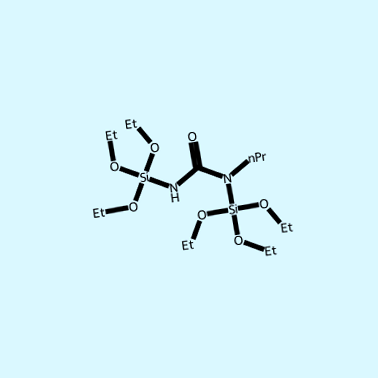 CCCN(C(=O)N[Si](OCC)(OCC)OCC)[Si](OCC)(OCC)OCC